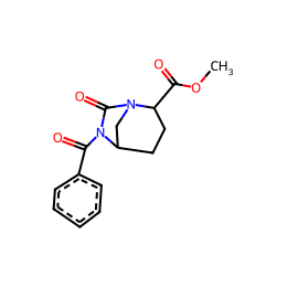 COC(=O)C1CCC2CN1C(=O)N2C(=O)c1ccccc1